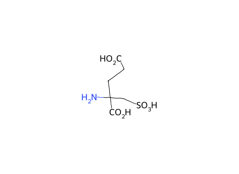 NC(CCC(=O)O)(CS(=O)(=O)O)C(=O)O